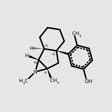 Cc1ccc(O)cc1[C@]12CCCC[C@@H]1[C@H]1N(C)[C@@]1(C)C2